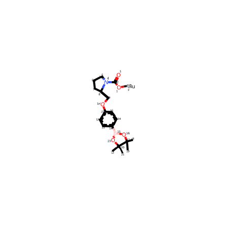 CC(C)(C)OC(=O)N1CCCC1COc1ccc(B2OC(C)(C)C(C)(C)O2)cc1